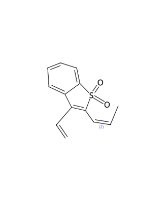 C=CC1=C(/C=C\C)S(=O)(=O)c2ccccc21